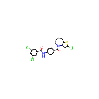 O=C(Nc1ccc(C(=O)N2CCCCc3sc(Cl)cc32)cc1)c1cc(Cl)cc(Cl)c1